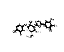 OC[C@H]1O[C@H](Sc2ccc(Cl)c(Cl)c2)[C@H](O)[C@@H](c2nnc(-c3cc(F)c(F)c(F)c3)o2)[C@H]1O